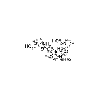 CCCCCCN(C(=O)[C@@H](NC(=O)[C@H]1CCCCN1CCO)[C@@H](C)CC)[C@H](C[C@@H](OCC)c1nc(C(=O)NC(C)CC(C)(C)C(=O)O)cs1)C(C)C